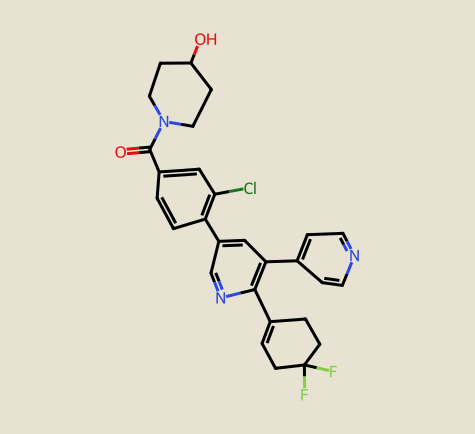 O=C(c1ccc(-c2cnc(C3=CCC(F)(F)CC3)c(-c3ccncc3)c2)c(Cl)c1)N1CCC(O)CC1